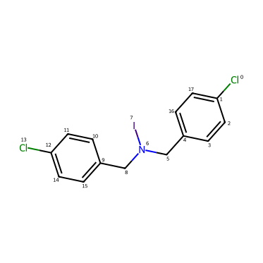 Clc1ccc(CN(I)Cc2ccc(Cl)cc2)cc1